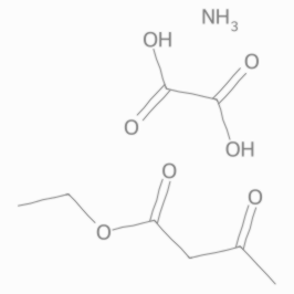 CCOC(=O)CC(C)=O.N.O=C(O)C(=O)O